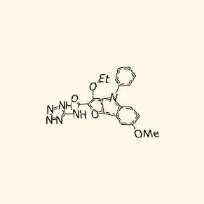 CCOc1c(C(=O)Nc2nnn[nH]2)oc2c3cc(OC)ccc3n(-c3ccccc3)c12